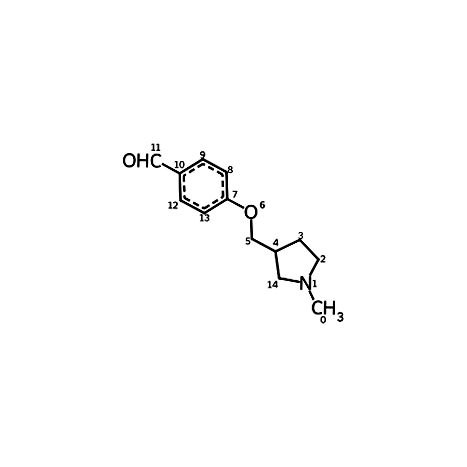 CN1CCC(COc2ccc(C=O)cc2)C1